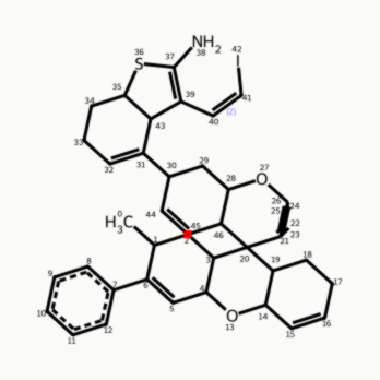 CC1CC2C(C=C1c1ccccc1)OC1C=CCCC1C21C2=CC=CCC2OC2CC(C3=CCCC4SC(N)=C(/C=C\I)C34)C=CC21